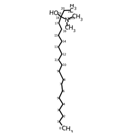 CCCCCCCCCCCCCCCCCCC(O)(CC)N(C)C